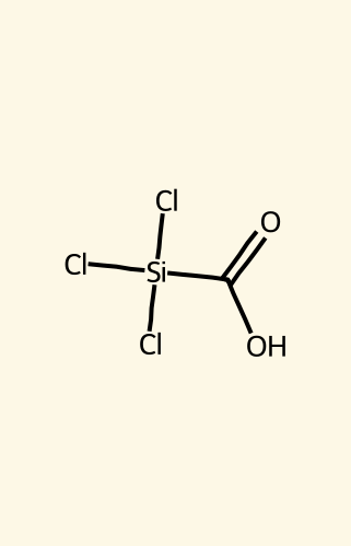 O=C(O)[Si](Cl)(Cl)Cl